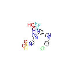 O=C(O)C(F)(F)F.O=[SH](=O)CN1CCC(c2c[nH]c(-c3cc(-c4cnn(Cc5ccc(Cl)cc5)c4)ccn3)n2)C1